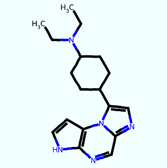 CCN(CC)C1CCC(c2cnc3cnc4[nH]ccc4n23)CC1